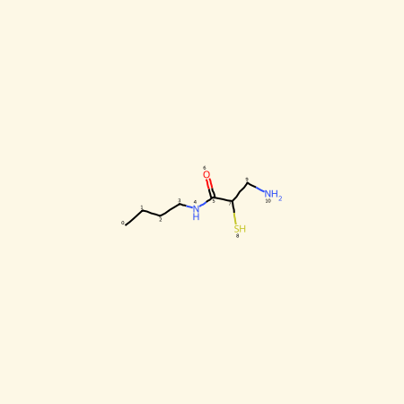 CCCCNC(=O)C(S)CN